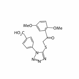 COc1ccc(OC)c(C(=O)CSc2nnnn2-c2ccc(C(=O)O)cc2)c1